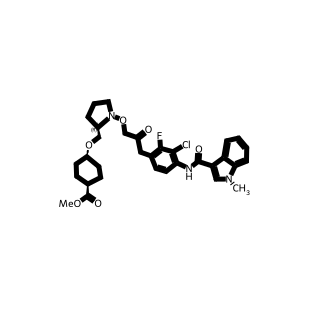 COC(=O)[C@H]1CC[C@H](OC[C@H]2CCCN2OCC(=O)Cc2ccc(NC(=O)c3cn(C)c4ccccc34)c(Cl)c2F)CC1